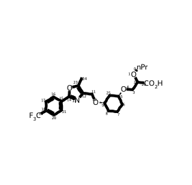 CCCOC(CO[C@@H]1CCC[C@H](OCc2nc(-c3ccc(C(F)(F)F)cc3)oc2C)C1)C(=O)O